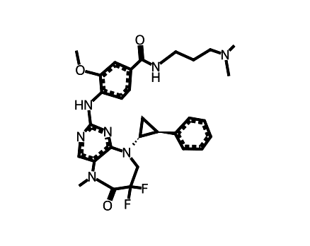 COc1cc(C(=O)NCCCN(C)C)ccc1Nc1ncc2c(n1)N([C@@H]1C[C@H]1c1ccccc1)CC(F)(F)C(=O)N2C